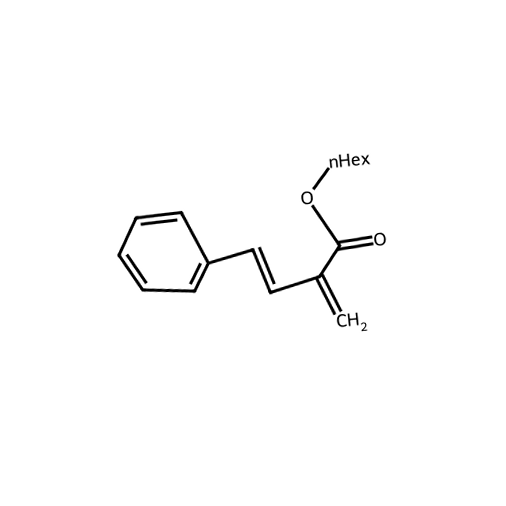 C=C(C=Cc1ccccc1)C(=O)OCCCCCC